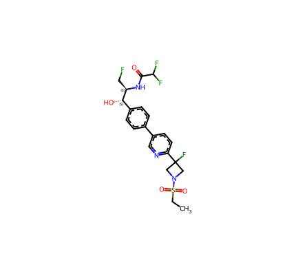 CCS(=O)(=O)N1CC(F)(c2ccc(-c3ccc([C@H](O)[C@@H](CF)NC(=O)C(F)F)cc3)cn2)C1